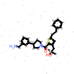 C[Si](C)(O)Cc1cc(CCc2ccccc2)sc1C(=O)N1CCC(c2cccc(CN)c2)CC1